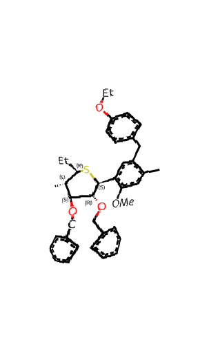 CCOc1ccc(Cc2cc([C@@H]3S[C@H](CC)[C@@H](C)[C@H](OCc4ccccc4)[C@H]3OCc3ccccc3)c(OC)cc2C)cc1